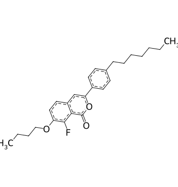 CCCCCCCc1ccc(-c2cc3ccc(OCCCC)c(F)c3c(=O)o2)cc1